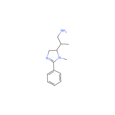 CC(CN)C1CN=C(c2ccccc2)N1C